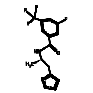 C[C@@H](Cc1cccs1)NC(=O)c1cc(F)cc(C(F)(F)F)c1